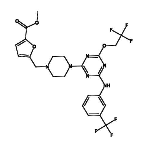 COC(=O)c1ccc(CN2CCN(c3nc(Nc4cccc(C(F)(F)F)c4)nc(OCC(F)(F)F)n3)CC2)o1